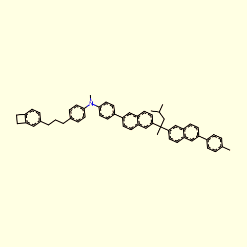 Cc1ccc(-c2ccc3cc(C(C)(CC(C)C)c4ccc5cc(-c6ccc(N(C)c7ccc(CCCc8ccc9c(c8)CC9)cc7)cc6)ccc5c4)ccc3c2)cc1